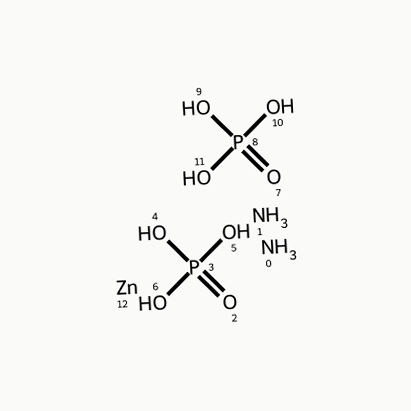 N.N.O=P(O)(O)O.O=P(O)(O)O.[Zn]